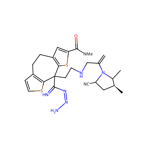 C=C(CNCCC1(C(=N)/N=N\N)c2sccc2CCc2cc(C(=O)NC)sc21)N1C(C#N)C[C@H](C)C1C